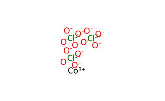 [Co+3].[O-][Cl+3]([O-])([O-])[O-].[O-][Cl+3]([O-])([O-])[O-].[O-][Cl+3]([O-])([O-])[O-]